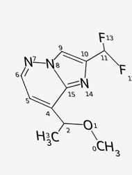 COC(C)c1ccnn2cc(C(F)F)nc12